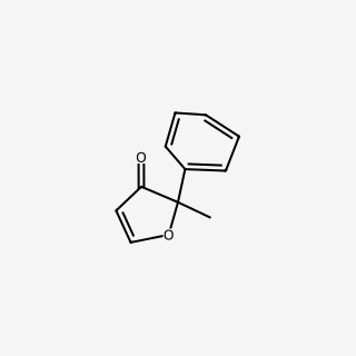 CC1(c2ccccc2)OC=CC1=O